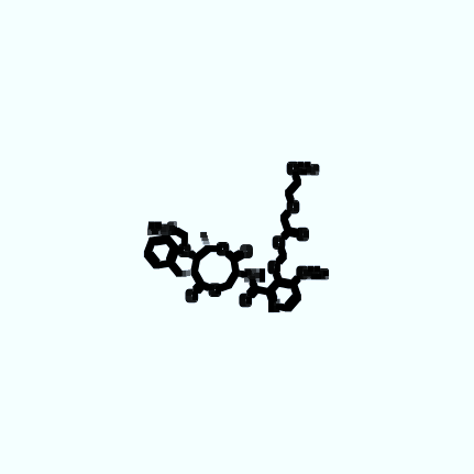 COCCOCC(=O)OCOc1c(OC)ccnc1C(=O)N[C@H]1COC(=O)[C@H](Cc2ccccc2)[C@@H](OCSC)[C@H](C)OC1=O